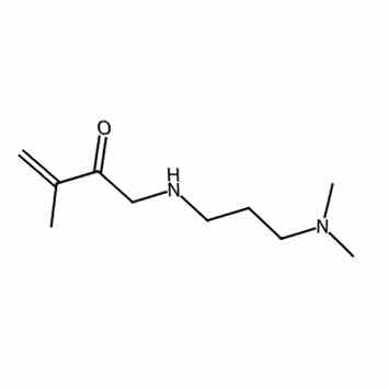 C=C(C)C(=O)CNCCCN(C)C